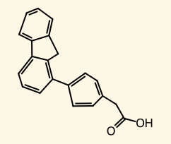 O=C(O)Cc1ccc(-c2cccc3c2Cc2ccccc2-3)cc1